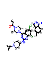 C=CC(=O)N1C[C@H](C)N(c2nc(NC3CCN(C4CC4)CC3)nc3c(F)c(-c4c(C)ccc5[nH]ncc45)c(Cl)cc23)C[C@H]1C